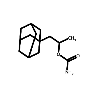 CC(CC12CC3CC(CC(C3)C1)C2)OC(N)=O